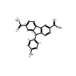 O=C(O)c1ccc2c(c1)-c1ccc(C(=O)O)cc1C2c1ccc(O)cc1